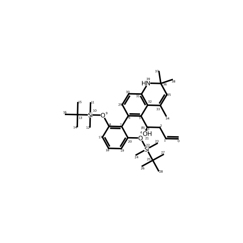 C=CC[C@@H](O)c1c(-c2c(O[Si](C)(C)C(C)(C)C)cccc2O[Si](C)(C)C(C)(C)C)ccc2c1C(C)=CC(C)(C)N2